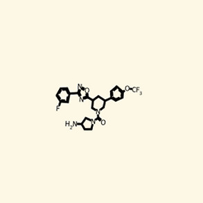 NC1CCN(C(=O)N2CC(c3ccc(OC(F)(F)F)cc3)CC(c3nc(-c4cccc(F)c4)no3)C2)C1